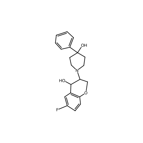 OC1c2cc(F)ccc2OCC1N1CCC(O)(c2ccccc2)CC1